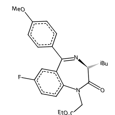 CCOC(=O)CN1C(=O)[C@H]([C@@H](C)CC)N=C(c2ccc(OC)cc2)c2cc(F)ccc21